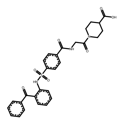 O=C(NCC(=O)N1CCC(C(=O)O)CC1)c1ccc(S(=O)(=O)Nc2ccccc2C(=O)c2ccccc2)cc1